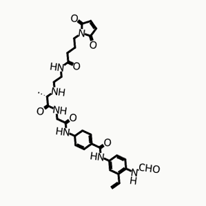 C=Cc1cc(NC(=O)C2=CCC(NC(=O)CNC(=O)[C@H](C)NCCNC(=O)CCCN3C(=O)C=CC3=O)C=C2)ccc1NC=O